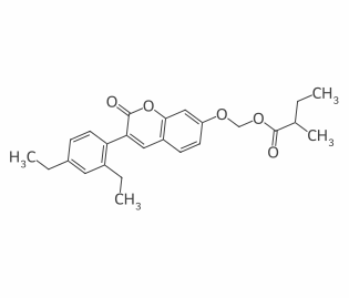 CCc1ccc(-c2cc3ccc(OCOC(=O)C(C)CC)cc3oc2=O)c(CC)c1